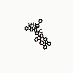 C=Cc1cccc(-c2ccc3c(c2)C2(c4ccccc4-3)c3ccccc3-c3ccc(-c4ccc(-c5ccc(N(c6ccc(-c7ccccc7)cc6)c6ccc7c(c6)C(C)(C)c6ccccc6-7)cc5)c5ccccc45)cc32)c1